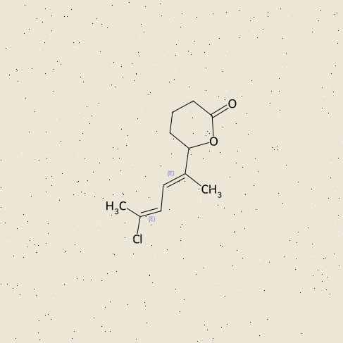 C/C(Cl)=C\C=C(/C)C1CCCC(=O)O1